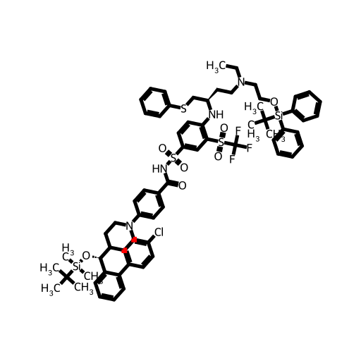 CCN(CCO[Si](c1ccccc1)(c1ccccc1)C(C)(C)C)CC[C@H](CSc1ccccc1)Nc1ccc(S(=O)(=O)NC(=O)c2ccc(N3CCC([C@@H](O[Si](C)(C)C(C)(C)C)c4ccccc4-c4ccc(Cl)cc4)CC3)cc2)cc1S(=O)(=O)C(F)(F)F